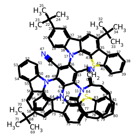 C=C1/C=C\C=C/C/C=C\C(=C)N1c1c(C#N)c(-n2c3ccc(C(C)(C)C)cc3c3cc(C(C)(C)C)c4c5ccccc5sc4c32)c(C#N)c(-n2c3ccccc3c3ccccc32)c1-n1c2ccc(C(C)(C)C)cc2c2ccc3c4ccccc4sc3c21